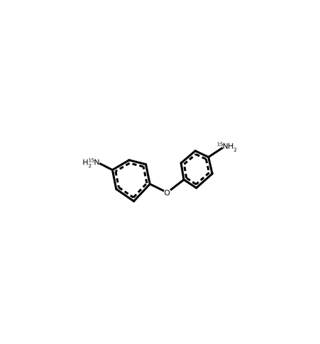 [15NH2]c1ccc(Oc2ccc([15NH2])cc2)cc1